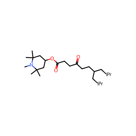 CC(C)CC(CCC(=O)CCC(=O)OC1CC(C)(C)N(C)C(C)(C)C1)CC(C)C